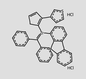 C1=CC(c2ccsc2)=[C]([Zr](=[C](c2ccccc2)c2ccccc2)[c]2cccc3c2Cc2ccccc2-3)C1.Cl.Cl